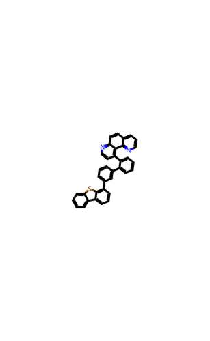 c1cc(-c2ccccc2-c2ccnc3ccc4cccnc4c23)cc(-c2cccc3c2sc2ccccc23)c1